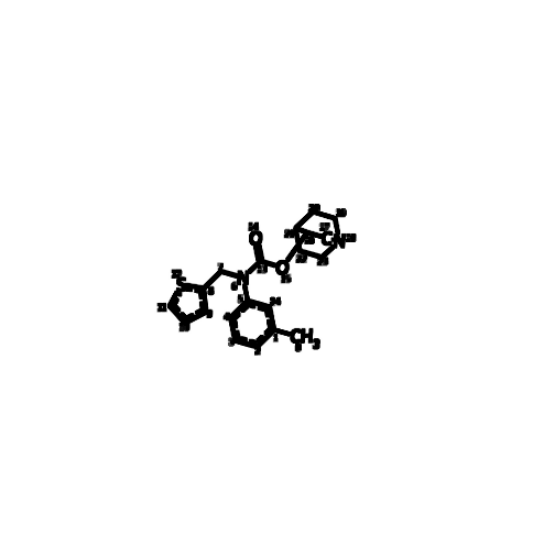 Cc1cccc(N(Cc2cccs2)C(=O)OC2CN3CCC2CC3)c1